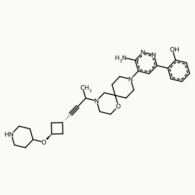 CC(C#C[C@H]1C[C@H](OC2CCNCC2)C1)N1CCOC2(CCN(c3cc(-c4ccccc4O)nnc3N)CC2)C1